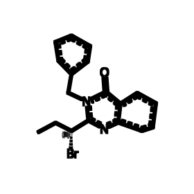 CC[C@@H](Br)c1nc2ccccc2c(=O)n1Cc1ccccc1